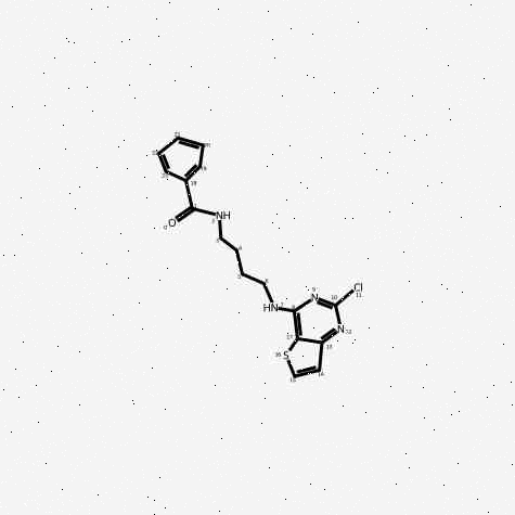 O=C(NCCCCNc1nc(Cl)nc2ccsc12)c1ccccc1